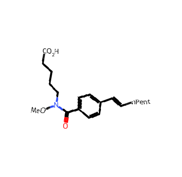 CCCCC/C=C/c1ccc(C(=O)N(CCCCC(=O)O)OC)cc1